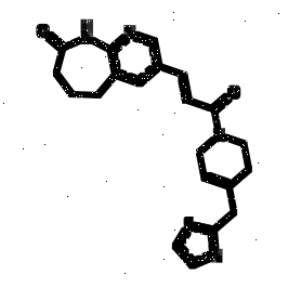 O=C1CCCc2cc(C=CC(=O)N3CC=C(Cc4nccs4)CC3)cnc2N1